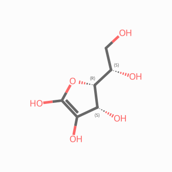 OC[C@H](O)[C@H]1OC(O)=C(O)[C@H]1O